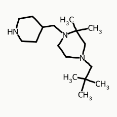 CC(C)(C)CN1CCN(CC2CCNCC2)C(C)(C)C1